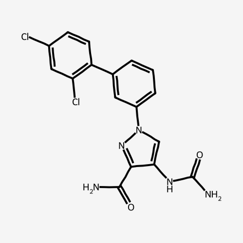 NC(=O)Nc1cn(-c2cccc(-c3ccc(Cl)cc3Cl)c2)nc1C(N)=O